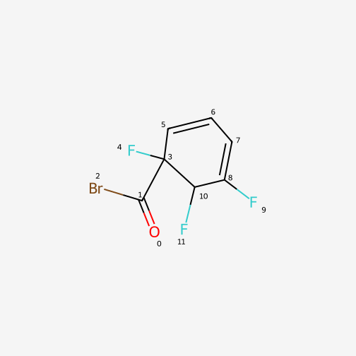 O=C(Br)C1(F)C=CC=C(F)C1F